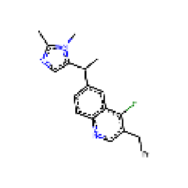 Cc1ncc(C(C)c2ccc3ncc(CC(C)C)c(Cl)c3c2)n1C